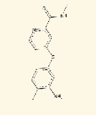 CNC(=O)c1cc(Oc2ccc(C)c(N)c2)ccn1